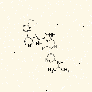 Cc1ccc(-c2ccnc3[nH]c(-c4n[nH]c5cnc(-c6cncc(NC(C)C)c6)c(F)c45)nc23)s1